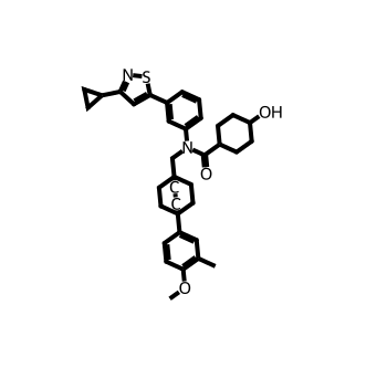 COc1ccc(C23CCC(CN(C(=O)C4CCC(O)CC4)c4cccc(-c5cc(C6CC6)ns5)c4)(CC2)CC3)cc1C